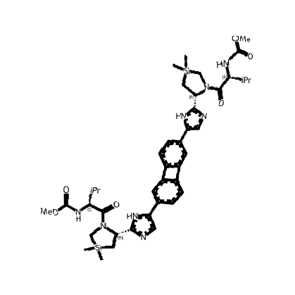 COC(=O)N[C@H](C(=O)N1C[Si](C)(C)C[C@H]1c1ncc(-c2ccc3c(c2)-c2ccc(-c4cnc([C@@H]5C[Si](C)(C)CN5C(=O)[C@@H](NC(=O)OC)C(C)C)[nH]4)cc2-3)[nH]1)C(C)C